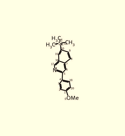 COc1ccc(-c2cc3ccc([Si](C)(C)C)cc3cn2)cc1